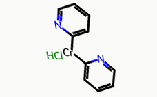 Cl.c1cc[c]([Cr][c]2ccccn2)nc1